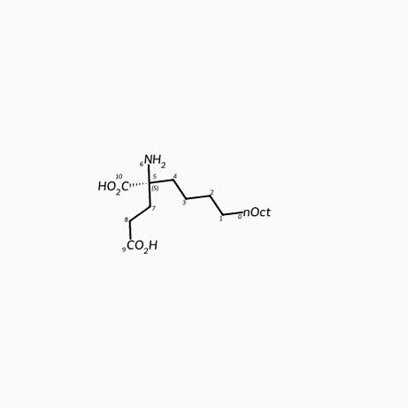 CCCCCCCCCCCC[C@](N)(CCC(=O)O)C(=O)O